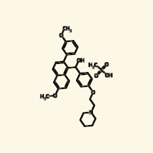 COc1cccc(-c2ccc3cc(OC)ccc3c2C(O)c2ccc(OCCN3CCCCC3)cc2)c1.CS(=O)(=O)O